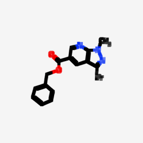 CC(C)c1nn(C)c2ncc(C(=O)OCc3ccccc3)cc12